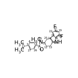 CC(C)c1ccc(C(=O)N(C)C2CCc3[nH]c4c(F)cc(F)cc4c3C2)cc1